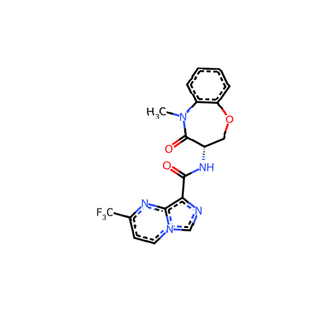 CN1C(=O)[C@@H](NC(=O)c2ncn3ccc(C(F)(F)F)nc23)COc2ccccc21